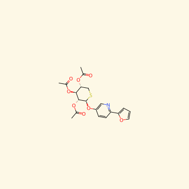 CC(=O)O[C@@H]1[C@@H](OC(C)=O)[C@H](OC(C)=O)CS[C@H]1Oc1ccc(-c2ccco2)nc1